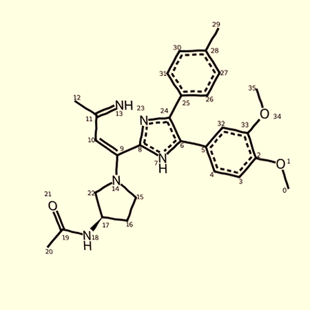 COc1ccc(-c2[nH]c(/C(=C\C(C)=N)N3CC[C@@H](NC(C)=O)C3)nc2-c2ccc(C)cc2)cc1OC